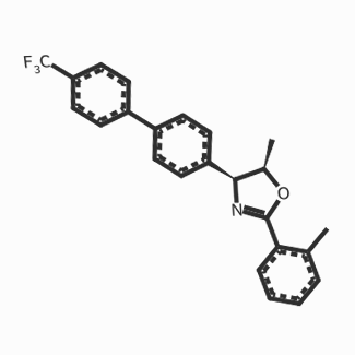 Cc1ccccc1C1=N[C@@H](c2ccc(-c3ccc(C(F)(F)F)cc3)cc2)[C@@H](C)O1